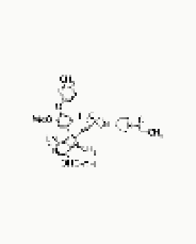 C=CC(=O)N1CCC(N2CC(C)(C#Cc3c(-c4ccc(Oc5cccc(C)n5)c(OC)c4)c4c(N)ncnc4n3C)C2)CC1.O=CO